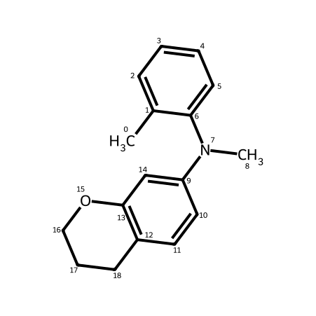 Cc1ccccc1N(C)c1ccc2c(c1)OCCC2